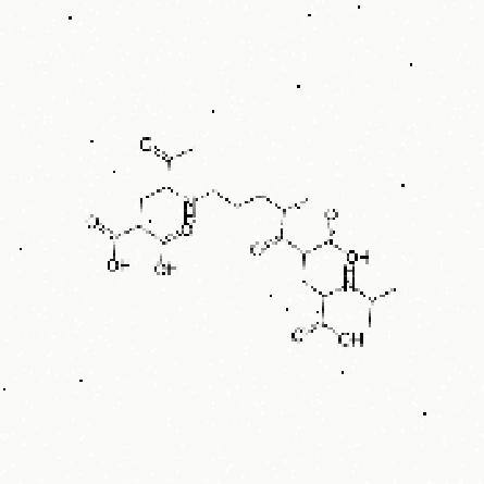 CC(=O)C(CC(C(=O)O)C(=O)O)NCCCC(C)C(=O)C(CC(NC(C)C)C(=O)O)C(=O)O